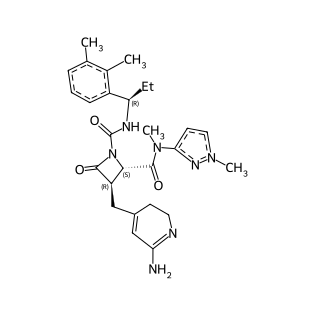 CC[C@@H](NC(=O)N1C(=O)[C@H](CC2=CC(N)=NCC2)[C@H]1C(=O)N(C)c1ccn(C)n1)c1cccc(C)c1C